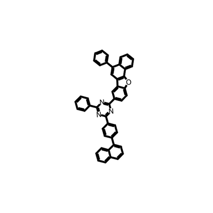 c1ccc(-c2nc(-c3ccc(-c4cccc5ccccc45)cc3)nc(-c3ccc4oc5c6ccccc6c(-c6ccccc6)cc5c4c3)n2)cc1